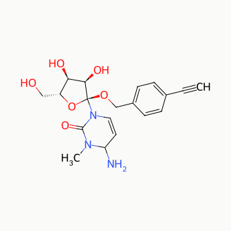 C#Cc1ccc(CO[C@@]2(N3C=CC(N)N(C)C3=O)O[C@H](CO)[C@@H](O)[C@H]2O)cc1